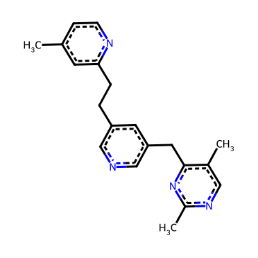 Cc1ccnc(CCc2cncc(Cc3nc(C)ncc3C)c2)c1